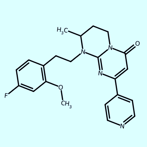 COc1cc(F)ccc1CCN1c2nc(-c3ccncc3)cc(=O)n2CCC1C